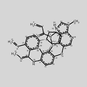 C=CC(=O)N1[C@@H]2CC[C@H]1[C@H](c1ccc(N=C)c(/C(=N\C)Nc3ccc(Oc4cnc5c(c4)ncn5C)c(C)c3F)n1)C2